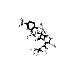 CO[C@@]1(NSc2ccc([N+](=O)[O-])cc2[N+](=O)[O-])C(=O)N2C(C(=O)OC(C)(C)C)=C(C)CS[C@H]21